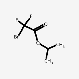 CC(C)OC(=O)C(F)(F)Br